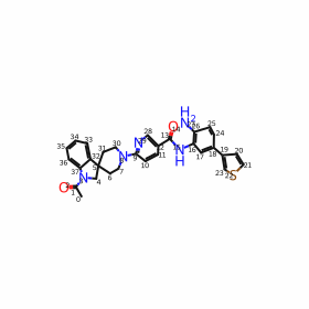 CC(=O)N1CC2(CCN(c3ccc(C(=O)Nc4cc(-c5ccsc5)ccc4N)cn3)CC2)c2ccccc21